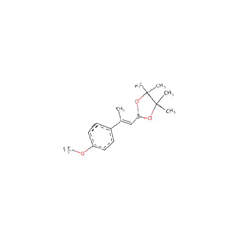 C/C(=C\B1OC(C)(C)C(C)(C)O1)c1ccc(OC(F)(F)F)cc1